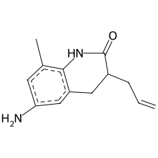 C=CCC1Cc2cc(N)cc(C)c2NC1=O